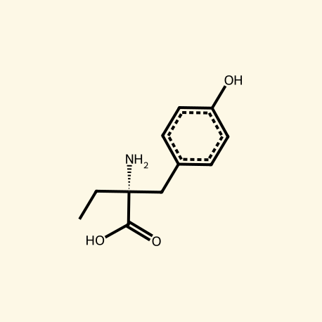 CC[C@@](N)(Cc1ccc(O)cc1)C(=O)O